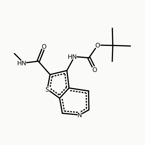 CNC(=O)c1sc2cnccc2c1NC(=O)OC(C)(C)C